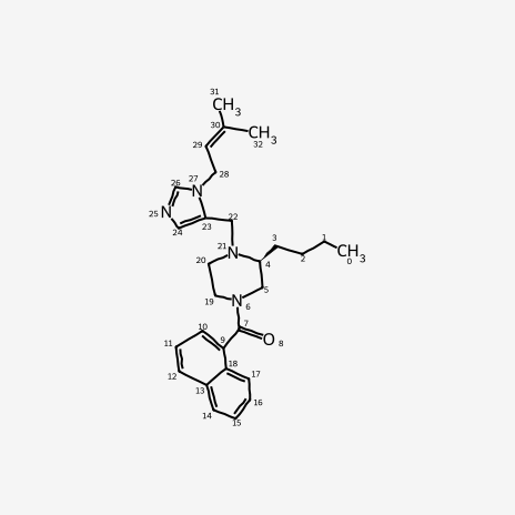 CCCC[C@H]1CN(C(=O)c2cccc3ccccc23)CCN1Cc1cncn1CC=C(C)C